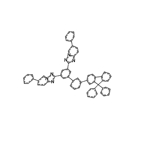 c1ccc(-c2ccc3nc(-c4cc(-c5cccc(-c6ccc7c(c6)C(c6ccccc6)(c6ccccc6)c6ccccc6-7)c5)cc(-c5nc6ccc(-c7ccccc7)cn6n5)c4)nn3c2)cc1